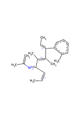 C=C(C)/N=C(/C=C\C)C(\C)=C(C)\C(=C\C)c1ccccc1C